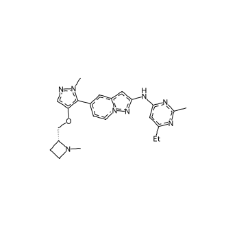 CCc1cc(Nc2cc3cc(-c4c(OC[C@H]5CCN5C)cnn4C)ccn3n2)nc(C)n1